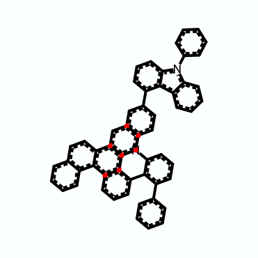 c1ccc(-c2ccccc2-c2c(-c3ccccc3)cccc2N(c2ccc(-c3cccc4c3c3ccccc3n4-c3ccccc3)cc2)c2ccc3c(ccc4ccccc43)c2)cc1